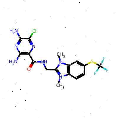 Cn1c(CNC(=O)c2nc(Cl)c(N)nc2N)[n+](C)c2ccc(SC(F)(F)F)cc21